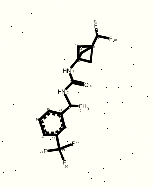 CC(NC(=O)NC12CC(C(F)F)(C1)C2)c1cccc(C(F)(F)F)c1